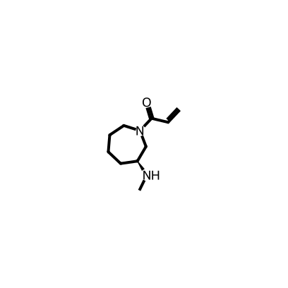 C=CC(=O)N1CCCC[C@H](NC)C1